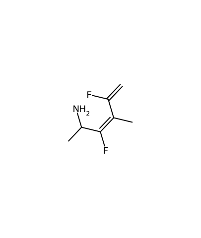 C=C(F)/C(C)=C(/F)C(C)N